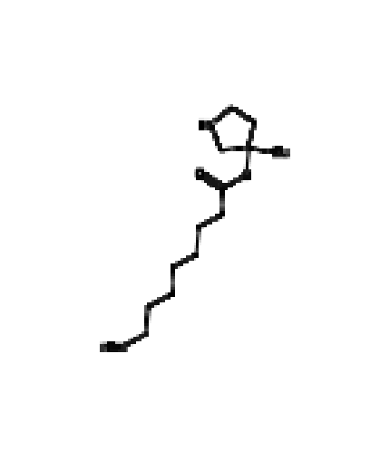 CCCCCCCCCCCCCCCCCC(=O)OC1(C(C)(C)C)CCNC1